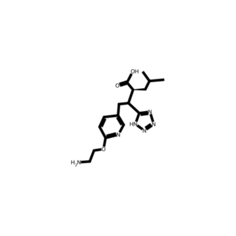 CC(C)C[C@H](C(=O)O)C(Cc1ccc(OCCN)nc1)c1nnn[nH]1